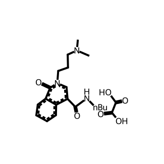 CCCCNC(=O)c1cn(CCCN(C)C)c(=O)c2ccccc12.O=C(O)C(=O)O